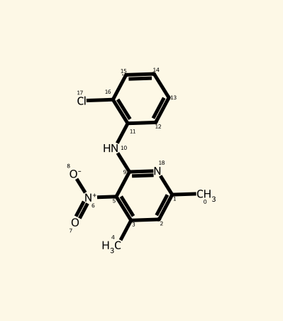 Cc1cc(C)c([N+](=O)[O-])c(Nc2ccc[c]c2Cl)n1